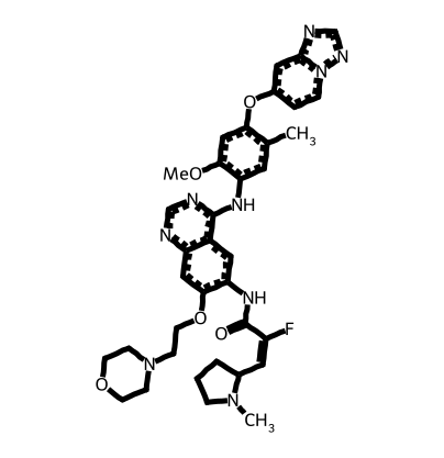 COc1cc(Oc2ccn3ncnc3c2)c(C)cc1Nc1ncnc2cc(OCCN3CCOCC3)c(NC(=O)/C(F)=C\C3CCCN3C)cc12